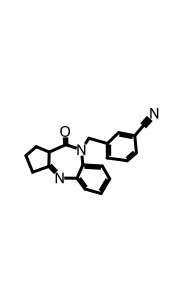 N#Cc1cccc(CN2C(=O)C3CCCC3=Nc3ccccc32)c1